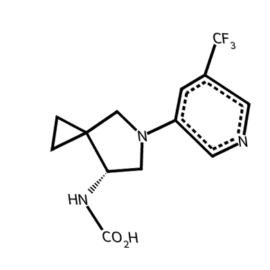 O=C(O)N[C@H]1CN(c2cncc(C(F)(F)F)c2)CC12CC2